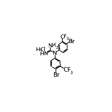 Cl.N=C(N)N(c1ccc(Br)c(C(F)(F)F)c1)c1ccc(Br)c(C(F)(F)F)c1